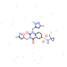 Cc1cc(Cn2c(=O)c3cc(S(=O)(=O)NC4(CF)CC4)ccc3n(Cc3cc(C)nn3C)c2=O)on1